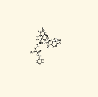 CC[C@@]1(O)C(=O)OCc2c1cc1n(c2=O)Cc2c-1nc1cc(F)c(C)c3c1c2[C@@H](NCCCN(C(=O)OCc1ccccc1)C(C)C)CC3